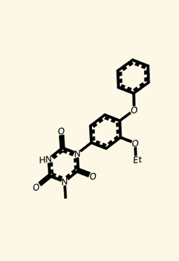 CCOc1cc(-n2c(=O)[nH]c(=O)n(C)c2=O)ccc1Oc1ccccc1